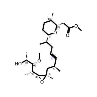 COC(=O)C[C@@H]1O[C@H](C(C)C/C=C/[C@@H](C)C[C@@]2(C)O[C@@H]2[C@H](C)[C@@H](OC)[C@@H](C)O)CC[C@@H]1C